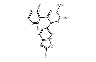 CCc1nc2ccc(N(CC(=O)OC(C)(C)C)C(=O)c3c(F)cccc3F)cc2o1